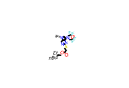 CCCCC(CC)COC(=O)CCSc1ncc2c(n1)c(N1CC(F)(F)OC(F)(F)C1)cn2C(C)C